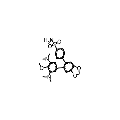 COc1c(N(C)C)cc(-c2cc3c(cc2-c2ccc(S(N)(=O)=O)cc2)OCO3)cc1N(C)C